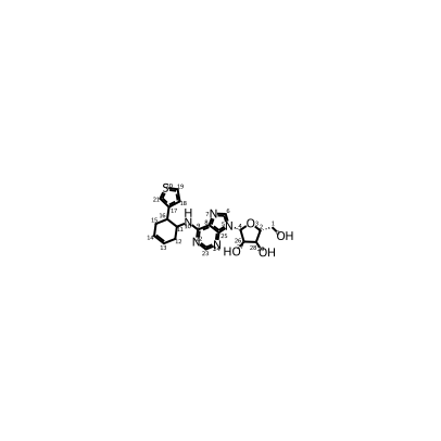 OC[C@H]1O[C@@H](n2cnc3c(NC4CC=CCC4c4ccsc4)ncnc32)C(O)C1O